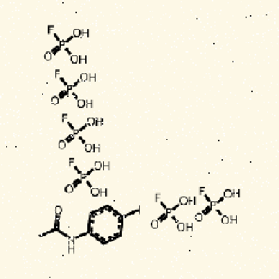 CC(=O)Nc1ccc(I)cc1.O=P(O)(O)F.O=P(O)(O)F.O=P(O)(O)F.O=P(O)(O)F.O=P(O)(O)F.O=P(O)(O)F